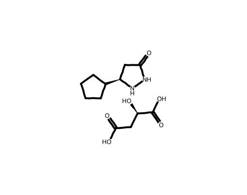 O=C(O)C[C@@H](O)C(=O)O.O=C1C[C@H](C2CCCC2)NN1